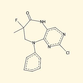 CC1(F)CN(c2ccccc2)c2nc(Cl)ncc2NC1=O